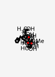 CO[C@H]1OC(CO)[C@@H](O[C@H]2OC(CN(CCCCNCC3O[C@H](O)C(O)C(O)[C@@H]3O)CC3CC4CCCC(C4)C3)[C@@H](OCO[C@H](C)CO)C(O)C2O)C(O)C1O